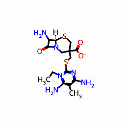 CC[n+]1c(SCC2(C(=O)[O-])CS[C@@H]3C(N)C(=O)N3C2)nc(N)c(C)c1N